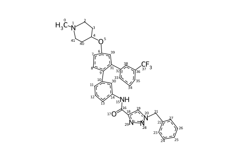 CN1CCC(Oc2ccc(-c3cccc(NC(=O)c4cn(Cc5ccccc5)nn4)c3)c(-c3cccc(C(F)(F)F)c3)c2)CC1